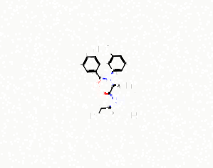 C=C(C(=O)N[C@@H](CC(C)C)C(=O)O)N(C(=O)c1ccccc1)c1cccc(C)c1